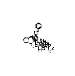 BC(B)(B)NC(B)(B)c1cc(OCc2ccccc2)n(CC2CCCCC2)n1